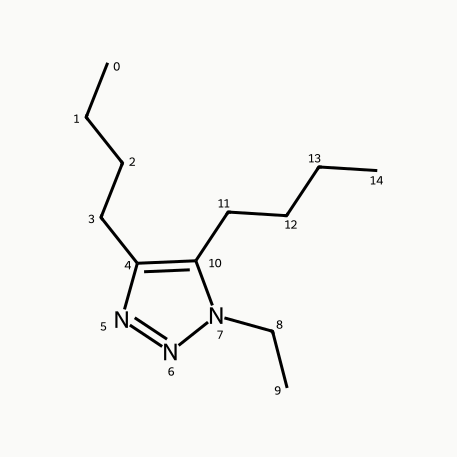 CCCCc1nnn(CC)c1CCCC